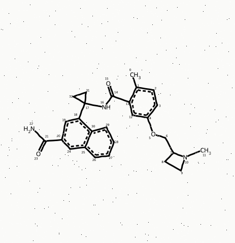 Cc1ccc(OCC2CCN2C)cc1C(=O)NC1(c2cc(C(N)=O)cc3ccccc23)CC1